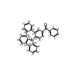 O=C(c1ccccc1)c1ccc2c(c1)-c1ccccc1-c1cccc3c4ccccc4n-2c13